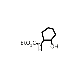 CCOC(=O)NC1CCCCC1O